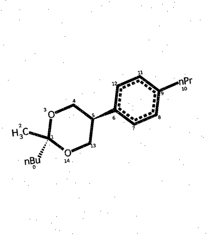 CCCC[C@]1(C)OC[C@@H](c2ccc(CCC)cc2)CO1